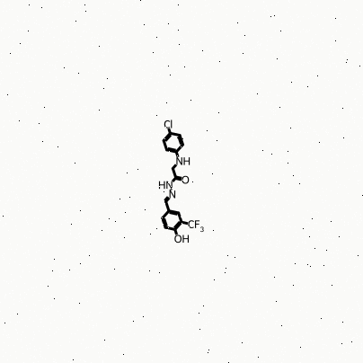 O=C(CNc1ccc(Cl)cc1)N/N=C/c1ccc(O)c(C(F)(F)F)c1